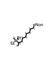 CCCCCCCCCCCCCCCCC(C)[N+](C)(CC)CC